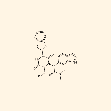 CC(C)CC1C(=O)NC(C2Cc3ccccc3C2)C(=O)N1C(C(=O)N(C)C)c1ccc2cn[nH]c2c1